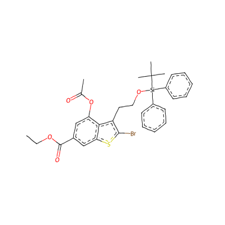 CCOC(=O)c1cc(OC(C)=O)c2c(CCO[Si](c3ccccc3)(c3ccccc3)C(C)(C)C)c(Br)sc2c1